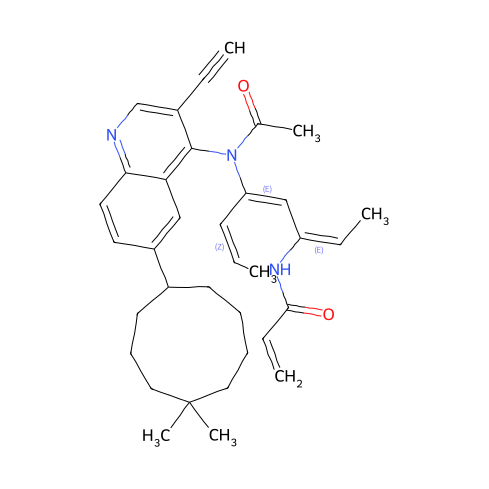 C#Cc1cnc2ccc(C3CCCCC(C)(C)CCC3)cc2c1N(C(C)=O)C(/C=C\C)=C/C(=C\C)NC(=O)C=C